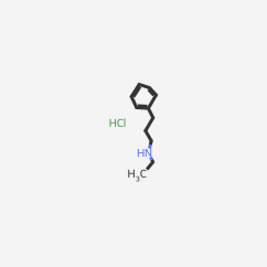 CCNCCCc1ccccc1.Cl